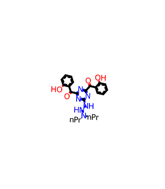 CCCN(CCC)NNc1nc(C(=O)c2ccccc2O)nc(C(=O)c2ccccc2O)n1